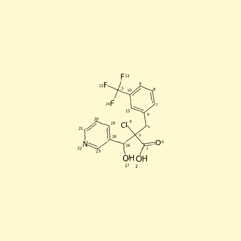 O=C(O)C(Cl)(Cc1cccc(C(F)(F)F)c1)C(O)c1cccnc1